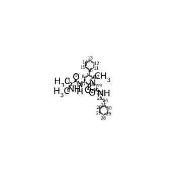 CN[C@@H](C)C(=O)Nc1cc(-c2ccccc2)c(C)n(CC(=O)NCCc2ccccc2)c1=O